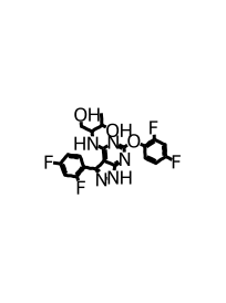 CC(O)C(CO)Nc1nc(Oc2ccc(F)cc2F)nc2[nH]nc(-c3ccc(F)cc3F)c12